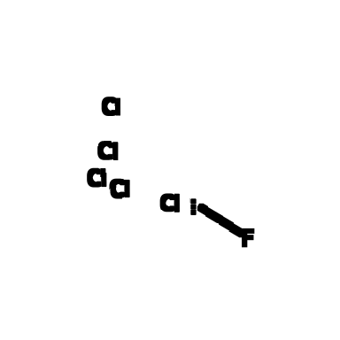 [C].[C].[C].[C].[C].[C]F